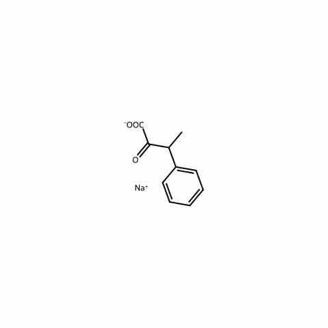 CC(C(=O)C(=O)[O-])c1ccccc1.[Na+]